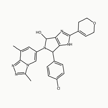 Cc1cc(N2C(O)c3nc(C4=CCOCC4)[nH]c3C2c2ccc(Cl)cc2)cn2c(C)nnc12